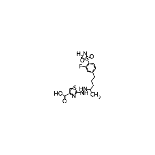 CC(CCCc1ccc(S(N)(=O)=O)c(F)c1)NNc1nc(C(=O)O)cs1